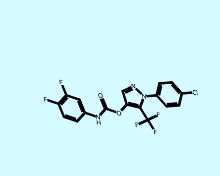 O=C(Nc1ccc(F)c(F)c1)Oc1cnn(-c2ccc(Cl)cc2)c1C(F)(F)F